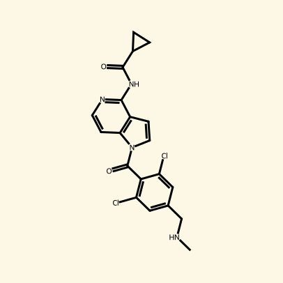 CNCc1cc(Cl)c(C(=O)n2ccc3c(NC(=O)C4CC4)nccc32)c(Cl)c1